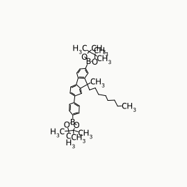 CCCCCCCCC1(C)c2cc(B3OC(C)(C)C(C)(C)O3)ccc2-c2ccc(-c3ccc(B4OC(C)(C)C(C)(C)O4)cc3)cc21